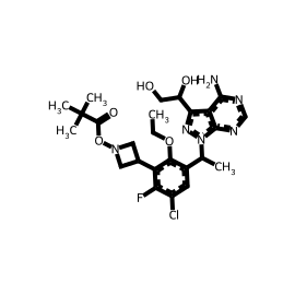 CCOc1c(C(C)n2nc(C(O)CO)c3c(N)ncnc32)cc(Cl)c(F)c1C1CN(OC(=O)C(C)(C)C)C1